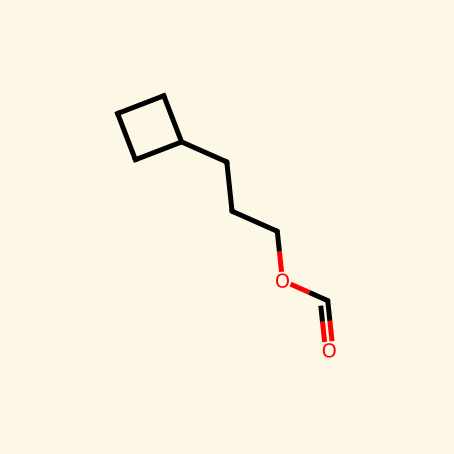 O=COCCCC1CCC1